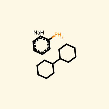 C1CCC(C2CCCCC2)CC1.Pc1ccccc1.[NaH]